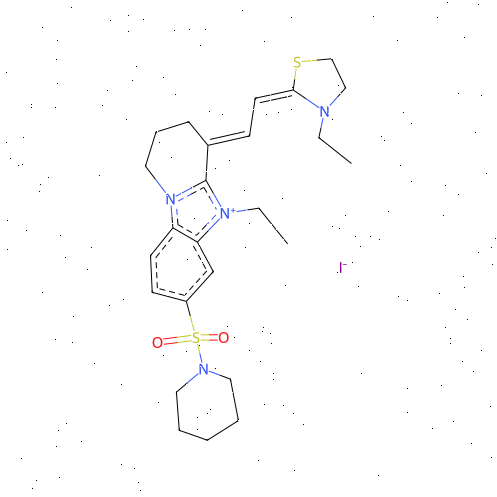 CCN1CCSC1=CC=C1CCCn2c1[n+](CC)c1cc(S(=O)(=O)N3CCCCC3)ccc12.[I-]